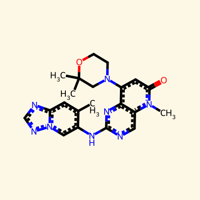 Cc1cc2ncnn2cc1Nc1ncc2c(n1)c(N1CCOC(C)(C)C1)cc(=O)n2C